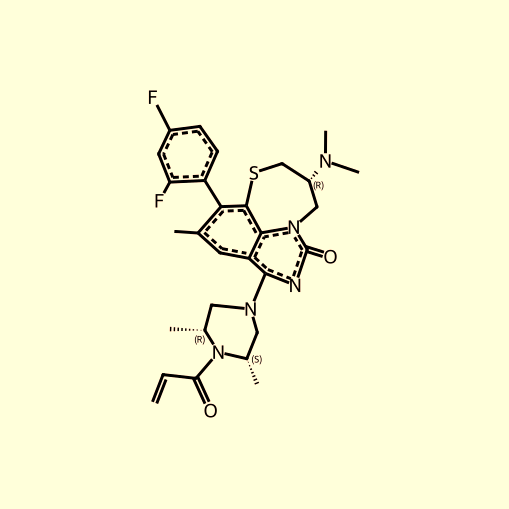 C=CC(=O)N1[C@H](C)CN(c2nc(=O)n3c4c(c(-c5ccc(F)cc5F)c(C)cc24)SC[C@H](N(C)C)C3)C[C@@H]1C